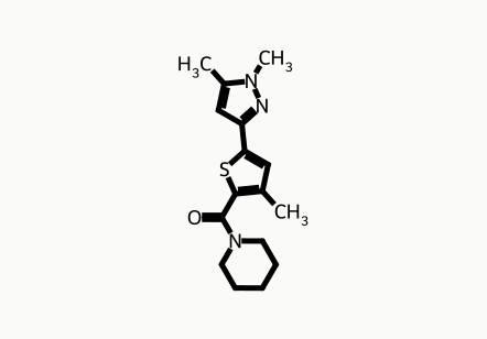 Cc1cc(-c2cc(C)n(C)n2)sc1C(=O)N1CCCCC1